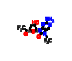 Nc1ncc2c(n1)n([C@@H]1O[C@H](C(=O)C(F)(F)F)C[C@H]1O)c(=O)n2CC(F)(F)F